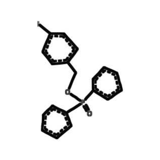 O=P(OCc1ccc(I)cc1)(c1ccccc1)c1ccccc1